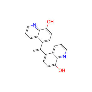 C=C(c1ccc(O)c2ncccc12)c1ccc(O)c2ncccc12